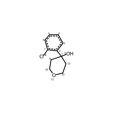 OC1(c2ccccc2Cl)CCOCC1